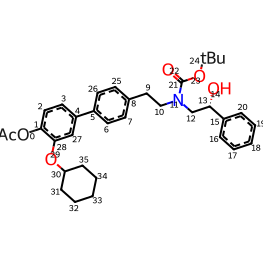 CC(=O)Oc1ccc(-c2ccc(CCN(C[C@H](O)c3ccccc3)C(=O)OC(C)(C)C)cc2)cc1OC1CCCCC1